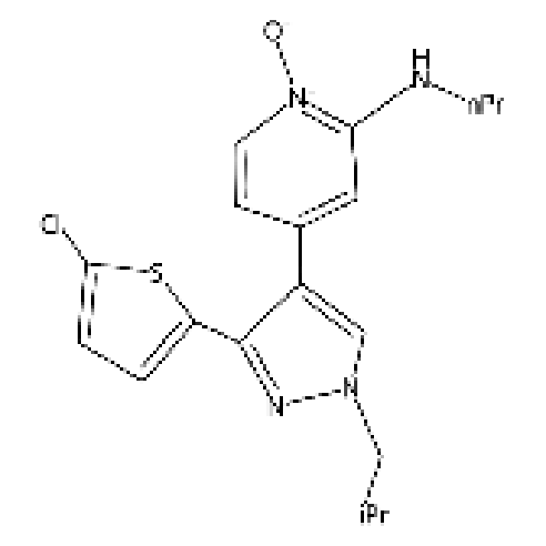 CCCNc1cc(-c2cn(CC(C)C)nc2-c2ccc(Cl)s2)cc[n+]1[O-]